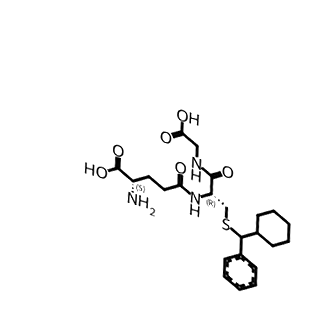 N[C@@H](CCC(=O)N[C@@H](CSC(c1ccccc1)C1CCCCC1)C(=O)NCC(=O)O)C(=O)O